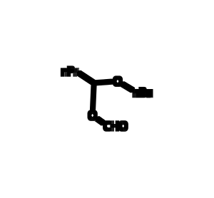 [CH2]CCC(OC=O)OCCCC